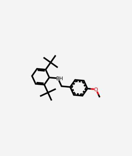 COc1ccc(CBC2C(C(C)(C)C)=CCC=C2C(C)(C)C)cc1